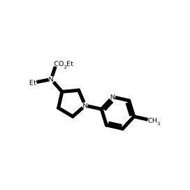 CCOC(=O)N(CC)C1CCN(c2ccc(C)cn2)C1